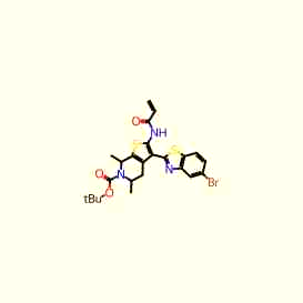 C=CC(=O)Nc1sc2c(c1-c1nc3cc(Br)ccc3s1)CC(C)N(C(=O)OC(C)(C)C)C2C